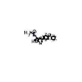 NC(=O)/C=C/c1c[nH]c2ncc(-c3ccc(Oc4ccccc4)cc3)cc12